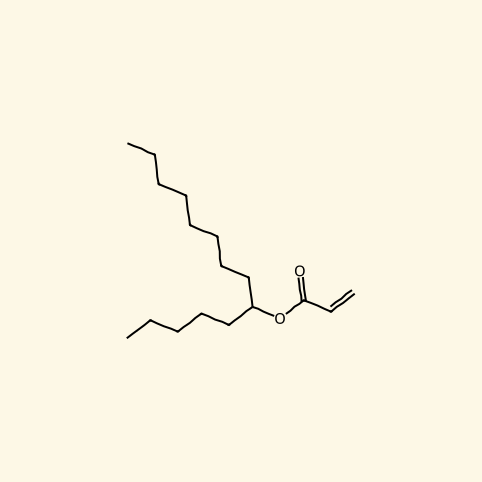 C=CC(=O)OC(CCCCC)CCCCCCCC